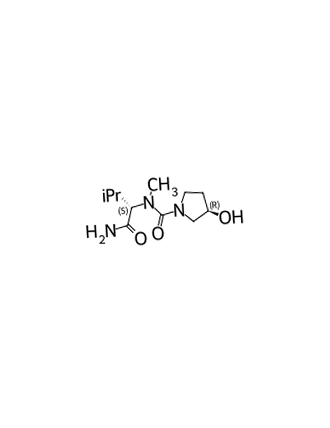 CC(C)[C@@H](C(N)=O)N(C)C(=O)N1CC[C@@H](O)C1